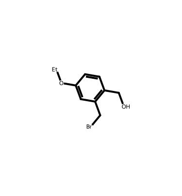 CCOc1ccc(CO)c(CBr)c1